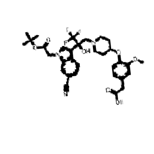 COc1cc(CC(=O)O)ccc1OC1CCN(CC(O)(c2cn(CC(=O)OC(C)(C)C)c3cc(C#N)ccc23)C(F)(F)F)CC1